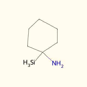 NC1([SiH3])CCCCC1